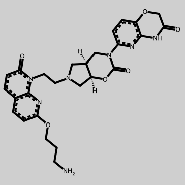 NCCCOc1ccc2ccc(=O)n(CCN3C[C@H]4CN(c5ccc6c(n5)NC(=O)CO6)C(=O)O[C@H]4C3)c2n1